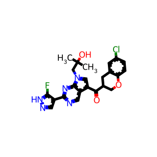 CC(C)(O)Cn1cc(C(=O)C2COc3ccc(Cl)cc3C2)c2cnc(-c3cn[nH]c3F)nc21